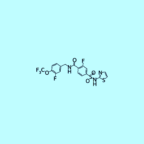 O=C(NCc1ccc(OC(F)(F)F)c(F)c1)c1ccc(S(=O)(=O)Nc2nccs2)cc1F